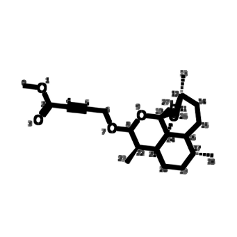 COC(=O)C#CCOC1O[C@@H]2C[C@]3(C)CCC4[C@H](C)CCC([C@H]1C)[C@]42OO3